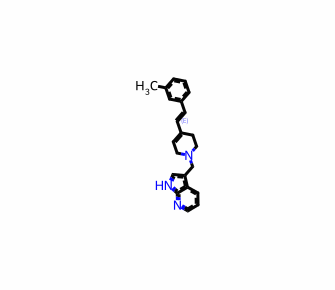 Cc1cccc(/C=C/C2=CCN(Cc3c[nH]c4ncccc34)CC2)c1